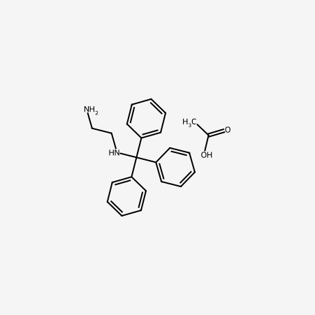 CC(=O)O.NCCNC(c1ccccc1)(c1ccccc1)c1ccccc1